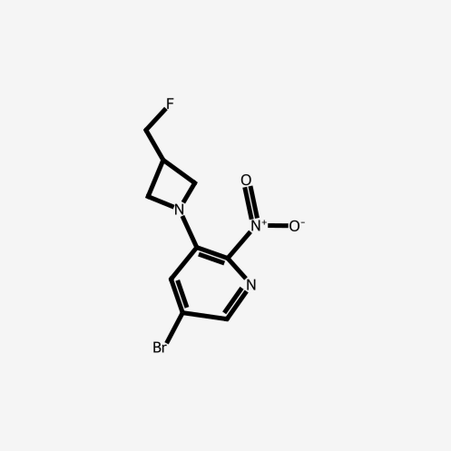 O=[N+]([O-])c1ncc(Br)cc1N1CC(CF)C1